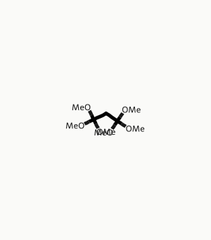 COC(CC(OC)(OC)OC)(OC)OC